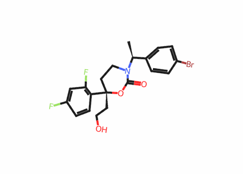 C[C@@H](c1ccc(Br)cc1)N1CC[C@@](CCO)(c2ccc(F)cc2F)OC1=O